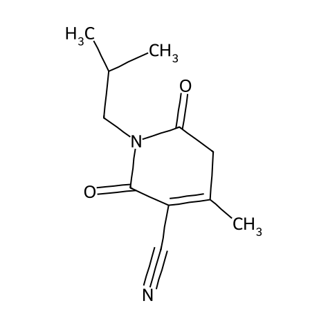 CC1=C(C#N)C(=O)N(CC(C)C)C(=O)C1